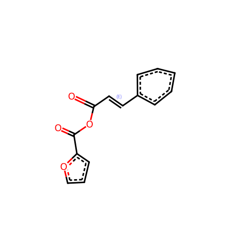 O=C(/C=C/c1ccccc1)OC(=O)c1ccco1